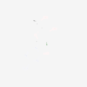 C#C[C@@]1(Cl)C(O)[C@@H]([C@@H](C)O)O[C@H]1n1cnc(N)nc1=O